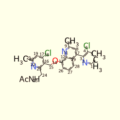 C/C=N\C(=C(/C)Cl)c1cc(C)nc2c(OCc3c(Cl)cc(C)nc3CNC(C)=O)cccc12